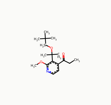 CCC(=O)c1ccnc(OC)c1C(C)(C)O[SiH2]C(C)(C)C